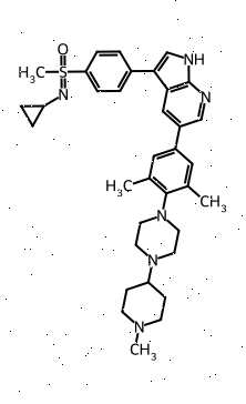 Cc1cc(-c2cnc3[nH]cc(-c4ccc(S(C)(=O)=NC5CC5)cc4)c3c2)cc(C)c1N1CCN(C2CCN(C)CC2)CC1